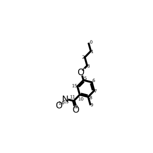 CCCCOc1ccc(C)c(C(=O)N=O)c1